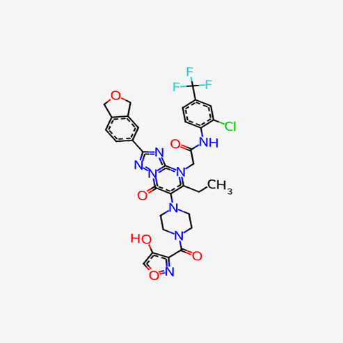 CCc1c(N2CCN(C(=O)c3nocc3O)CC2)c(=O)n2nc(-c3ccc4c(c3)COC4)nc2n1CC(=O)Nc1ccc(C(F)(F)F)cc1Cl